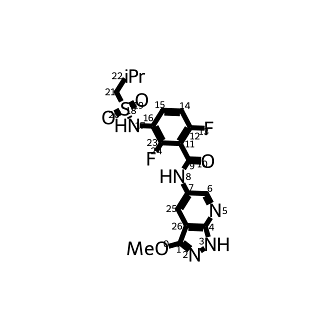 COc1n[nH]c2ncc(NC(=O)c3c(F)ccc(NS(=O)(=O)CC(C)C)c3F)cc12